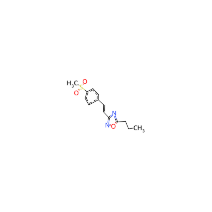 CCCc1nc(C=Cc2ccc(S(C)(=O)=O)cc2)no1